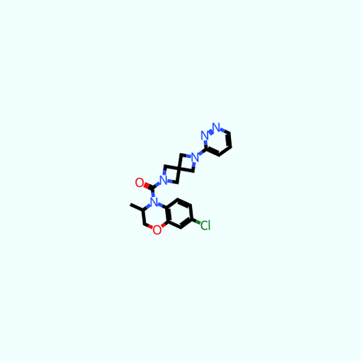 CC1COc2cc(Cl)ccc2N1C(=O)N1CC2(C1)CN(c1cccnn1)C2